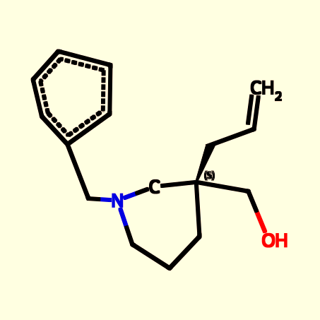 C=CC[C@@]1(CO)CCCN(Cc2ccccc2)C1